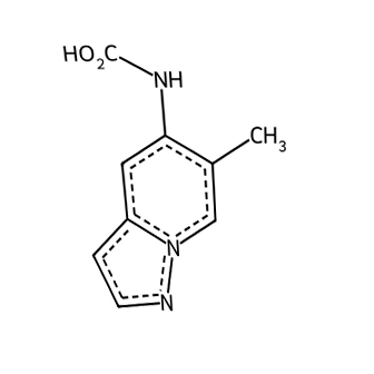 Cc1cn2nccc2cc1NC(=O)O